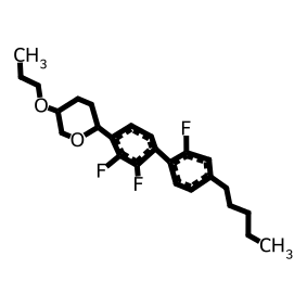 CCCCCc1ccc(-c2ccc(C3CCC(OCCC)CO3)c(F)c2F)c(F)c1